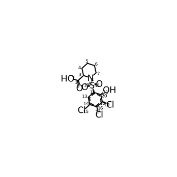 O=C(O)C1CCCCN1S(=O)(=O)c1cc(Cl)c(Cl)c(Cl)c1O